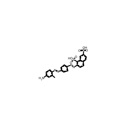 Cc1cc(N)ccc1N=Nc1ccc(N=Nc2ccc3ccc(S(=O)(=O)O)cc3c2S(=O)(=O)O)cc1